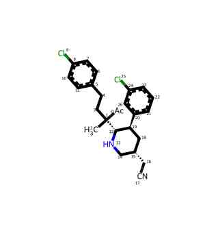 CC(=O)C(C)(CCc1ccc(Cl)cc1)[C@H]1NC[C@@H](CC#N)C[C@@H]1c1cccc(Cl)c1